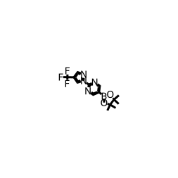 CC1(C)OB(c2cnc(-n3cc(C(F)(F)F)cn3)nc2)OC1(C)C